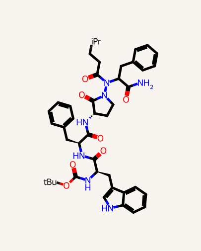 CC(C)CCC(=O)N(C(Cc1ccccc1)C(N)=O)N1CC[C@H](NC(=O)[C@H](Cc2ccccc2)NC(=O)[C@@H](Cc2c[nH]c3ccccc23)NC(=O)OC(C)(C)C)C1=O